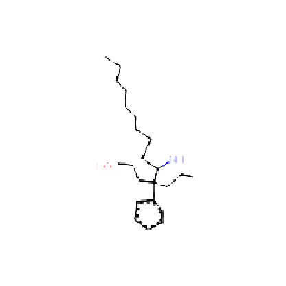 CCCCCCCCCC(N)C(CCC)(CCC)c1ccccc1.O